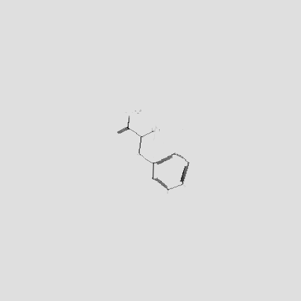 COC(=O)C(N)Cc1ccccc1.Cl